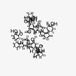 COc1cc(-c2cccc3cc(-c4nc5cc(C(=O)N6C[C@H]7CC[C@@H]6[C@@H]7N)cc(OC)c5n4C)n(CC4CC4)c23)ccc1O.COc1cc(C(=O)N2C[C@H]3CC[C@@H]2[C@@H]3N)cc2nc(-c3cc4cccc(-c5ccc(O)c(F)c5)c4n3CC3CC3)n(C)c12